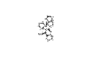 CCCCN1c2ccccc2C=C(c2ccc3ccccc3n2)C1c1ccccc1